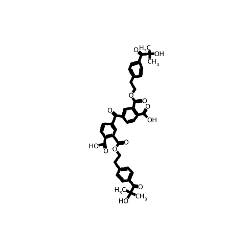 CC(C)(O)C(=O)c1ccc(CCOC(=O)c2cc(C(=O)c3ccc(C(=O)O)c(C(=O)OCCc4ccc(C(=O)C(C)(C)O)cc4)c3)ccc2C(=O)O)cc1